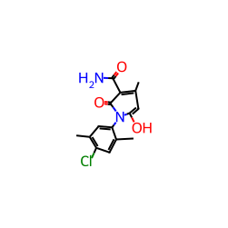 Cc1cc(-n2c(O)cc(C)c(C(N)=O)c2=O)c(C)cc1Cl